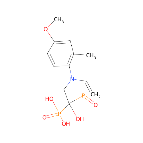 C=CN(CC(O)(P=O)P(=O)(O)O)c1ccc(OC)cc1C